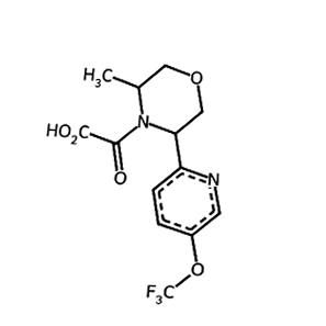 CC1COCC(c2ccc(OC(F)(F)F)cn2)N1C(=O)C(=O)O